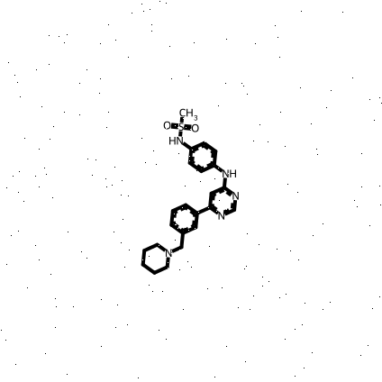 CS(=O)(=O)Nc1ccc(Nc2cc(-c3cccc(CN4CCCCC4)c3)ncn2)cc1